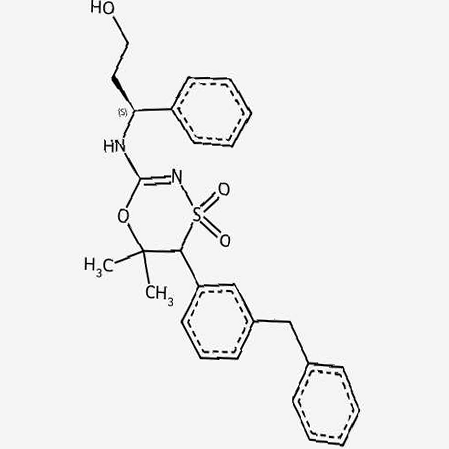 CC1(C)OC(N[C@@H](CCO)c2ccccc2)=NS(=O)(=O)C1c1cccc(Cc2ccccc2)c1